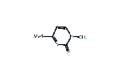 CSc1ccn(C)c(=O)n1